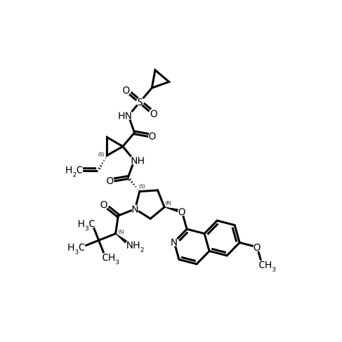 C=C[C@@H]1CC1(NC(=O)[C@@H]1C[C@@H](Oc2nccc3cc(OC)ccc23)CN1C(=O)[C@@H](N)C(C)(C)C)C(=O)NS(=O)(=O)C1CC1